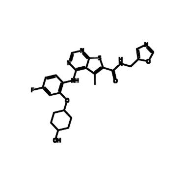 Cc1c(C(=O)NCc2cnco2)sc2ncnc(Nc3ccc(F)cc3OC3CCC(O)CC3)c12